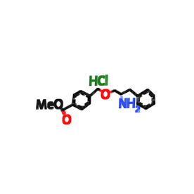 COC(=O)c1ccc(COC[C@@H](N)Cc2ccccc2)cc1.Cl